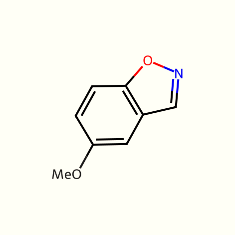 COc1ccc2oncc2c1